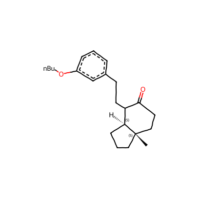 CCCCOc1cccc(CCC2C(=O)CC[C@]3(C)CCC[C@@H]23)c1